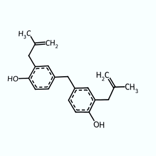 C=C(C)Cc1cc(Cc2ccc(O)c(CC(=C)C)c2)ccc1O